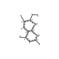 CCc1nc2nc(C)cc(C)c2cc1C